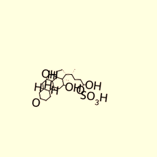 C[C@H](CCC(O)OS(=O)(=O)O)[C@H]1CC[C@H]2[C@@H]3[C@H](O)C[C@H]4CC(=O)CC[C@]4(C)[C@H]3C[C@H](O)[C@]12C